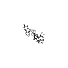 CN1CCN(c2cccc3cc(Nc4ncc5c(n4)N(C4CCCC4)C(O)C(C#N)=C5)ccc23)CC1